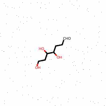 O=CCCC(O)C(O)CCO